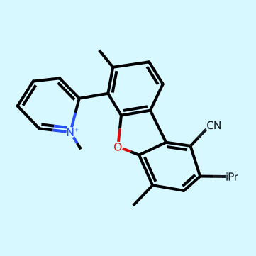 Cc1ccc2c(oc3c(C)cc(C(C)C)c(C#N)c32)c1-c1cccc[n+]1C